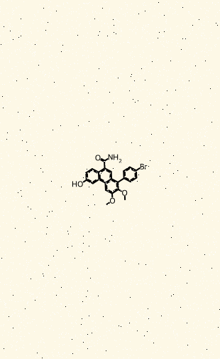 COc1cc2c(cc(C(N)=O)c3ccc(O)cc32)c(-c2ccc(Br)cc2)c1OC